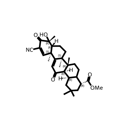 COC(=O)[C@@H]1CC(C)(C)C[C@@H]2C1CC[C@]1(C)[C@@H]2C(=O)C=C2[C@@]3(C)C=C(C#N)C(=O)[C@](C)(O)[C@@H]3CC[C@]21C